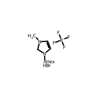 Br.CCCCCCN1C=CN(C)C1.F[B-](F)(F)F